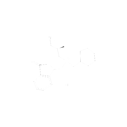 Cl.NC[C@@H](O)CP(=O)(CC1CCCCC1)OC1OC(=O)c2ccccc21